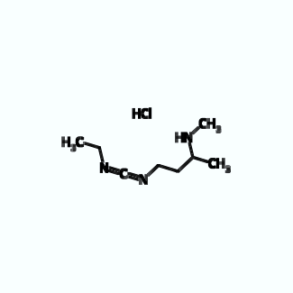 CCN=C=NCCC(C)NC.Cl